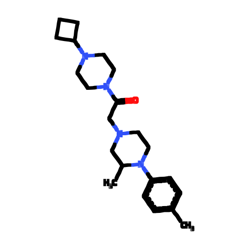 Cc1ccc(N2CCN(CC(=O)N3CCN(C4CCC4)CC3)CC2C)cc1